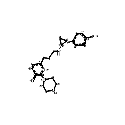 O=c1[nH]cc(CCCN[C@@H]2C[C@H]2c2ccc(F)cc2)nc1N1CCOCC1